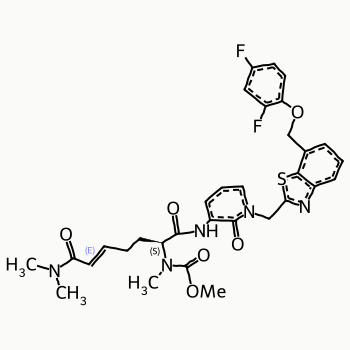 COC(=O)N(C)[C@@H](CC/C=C/C(=O)N(C)C)C(=O)Nc1cccn(Cc2nc3cccc(COc4ccc(F)cc4F)c3s2)c1=O